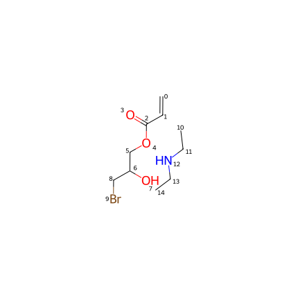 C=CC(=O)OCC(O)CBr.CCNCC